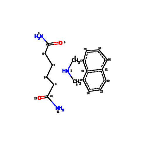 CNC.NC(=O)CCCCC(N)=O.c1ccc2ccccc2c1